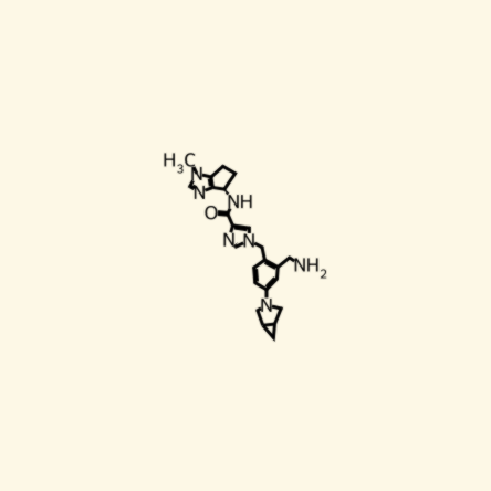 Cn1cnc2c1CC[C@H]2NC(=O)c1cn(Cc2ccc(N3CC4CC4C3)cc2CN)cn1